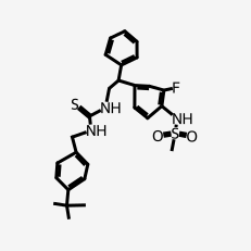 CC(C)(C)c1ccc(CNC(=S)NCC(c2ccccc2)c2ccc(NS(C)(=O)=O)c(F)c2)cc1